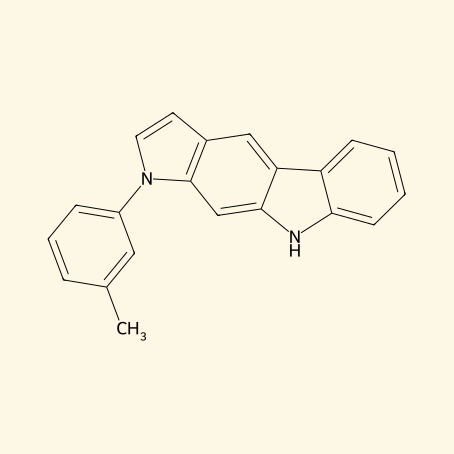 Cc1cccc(-n2ccc3cc4c(cc32)[nH]c2ccccc24)c1